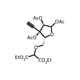 C#C[C@@]1(OC(C)=O)[C@@H](COC(C(=O)OCC)C(=O)OCC)OC(OC(C)=O)[C@@H]1OC(C)=O